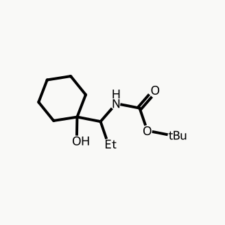 CCC(NC(=O)OC(C)(C)C)C1(O)CCCCC1